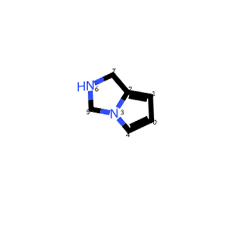 c1cc2n(c1)CNC2